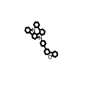 c1ccc2c(c1)oc1ccc(-c3ccc(-n4c5cccc6c7ccccc7n7c8ccccc8c8ccc4c(c65)c87)cc3)cc12